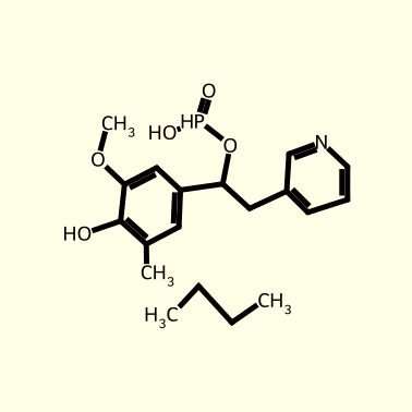 CCCC.COc1cc(C(Cc2cccnc2)O[PH](=O)O)cc(C)c1O